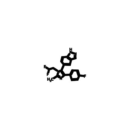 Cc1nc(-c2ccc(F)cc2)c(-c2ccc3[nH]ncc3c2)n1CC(F)F